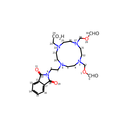 O=COCN1CCN(CCN2C(=O)c3ccccc3C2=O)CCN(CC(=O)O)CCN(COC=O)CC1